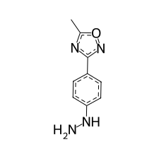 Cc1nc(-c2ccc(NN)cc2)no1